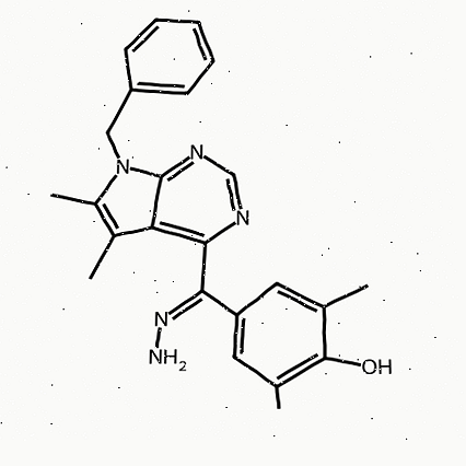 Cc1cc(C(=NN)c2ncnc3c2c(C)c(C)n3Cc2ccccc2)cc(C)c1O